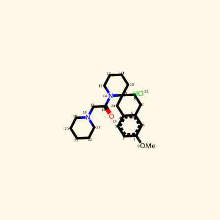 COc1ccc2c(c1)CCC1(CCCCN1C(=O)CN1CCCCC1)C2.Cl